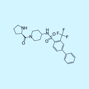 O=C([C@H]1CCCN1)N1CCC(NS(=O)(=O)c2ccc(-c3ccccc3)cc2C(F)(F)F)CC1